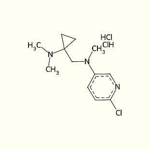 CN(CC1(N(C)C)CC1)c1ccc(Cl)nc1.Cl.Cl